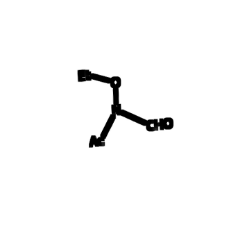 CCON(C=O)C(C)=O